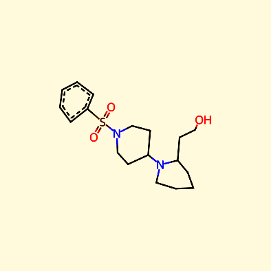 O=S(=O)(c1ccccc1)N1CCC(N2CCCCC2CCO)CC1